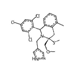 COC[C@]1(SC)Cc2c(C)cccc2C(c2c(Cl)cc(Cl)cc2Cl)N1Cc1cn[nH]c1